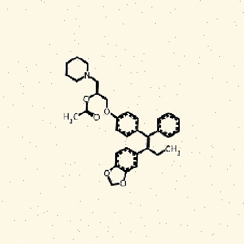 CC/C(=C(\c1ccccc1)c1ccc(OCC(CN2CCCCC2)OC(C)=O)cc1)c1ccc2c(c1)OCO2